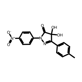 Cc1ccc(C2=NN(c3ccc([N+](=O)[O-])cc3)C(=O)C2(O)O)cc1